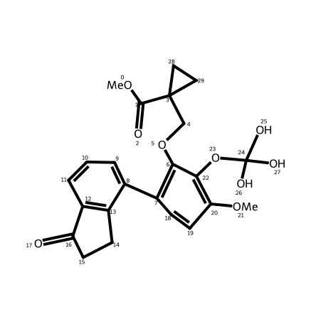 COC(=O)C1(COc2c(-c3cccc4c3CCC4=O)ccc(OC)c2OC(O)(O)O)CC1